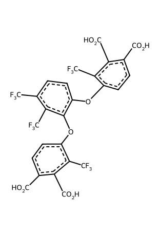 O=C(O)c1ccc(Oc2ccc(C(F)(F)F)c(C(F)(F)F)c2Oc2ccc(C(=O)O)c(C(=O)O)c2C(F)(F)F)c(C(F)(F)F)c1C(=O)O